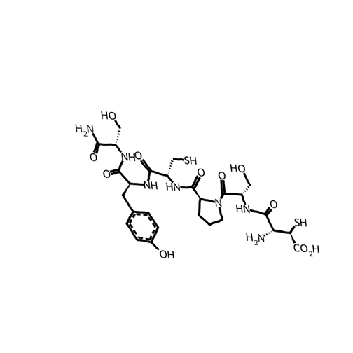 NC(=O)[C@H](CO)NC(=O)[C@H](Cc1ccc(O)cc1)NC(=O)[C@H](CS)NC(=O)[C@@H]1CCCN1C(=O)[C@H](CO)NC(=O)[C@@H](N)[C@@H](S)C(=O)O